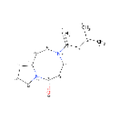 C=C(CC(C)C)N1CCC(=O)N2CCCC2CC1